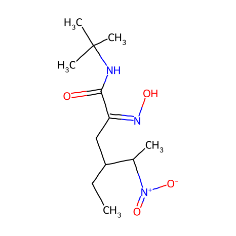 CCC(CC(=NO)C(=O)NC(C)(C)C)C(C)[N+](=O)[O-]